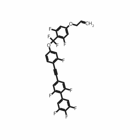 C=CCOc1cc(F)c(C(F)(F)Oc2ccc(C#Cc3cc(F)c(-c4cc(F)c(F)c(F)c4)c(F)c3)c(F)c2)c(F)c1